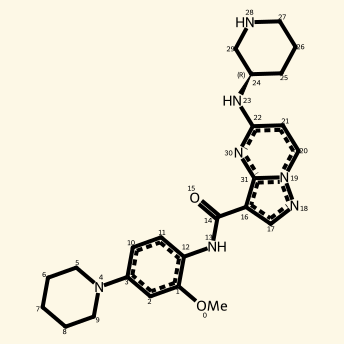 COc1cc(N2CCCCC2)ccc1NC(=O)c1cnn2ccc(N[C@@H]3CCCNC3)nc12